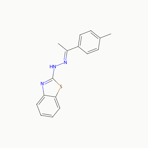 C/C(=N\Nc1nc2ccccc2s1)c1ccc(C)cc1